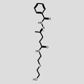 C/C(CCC(=O)NCCSCCO)=N\NC(=O)c1ccccc1